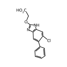 O=C(O)COc1nc2cc(-c3ccccc3)c(Cl)cc2[nH]1